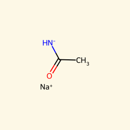 CC([NH-])=O.[Na+]